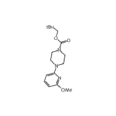 COc1cccc(N2CCN(C(=O)OCC(C)(C)C)CC2)n1